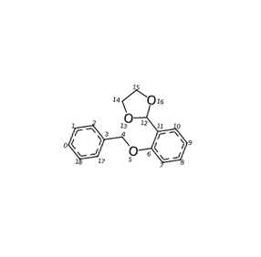 c1ccc(COc2ccccc2C2OCCO2)cc1